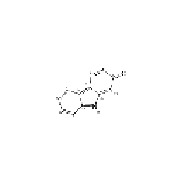 O=C1C=CC2=c3ccccc3=NC2=N1